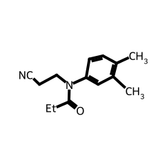 CCC(=O)N(CCC#N)c1ccc(C)c(C)c1